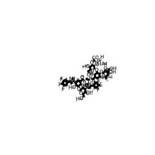 CCC[C@H](OC1C(NC(C)=O)[C@H](O[C@@H]2CC(C(=O)NCCNC(=O)C3CC(n4cc(-c5cc(F)c(F)c(F)c5)nn4)C(O)[C@H](O[C@@H]4OC(CO)[C@H](O)C(n5cc(-c6cc(F)c(F)c(F)c6)nn5)C4O)C3)CC(NC(C)=O)C2O[C@@H]2OC(C)CC(O)(CO)C2O)OC(CO)[C@@H]1O)C(=O)O